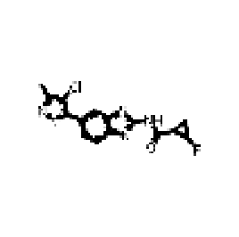 Cc1nsc(-c2ccc3nc(NC(=O)C4CC4F)sc3c2)c1Cl